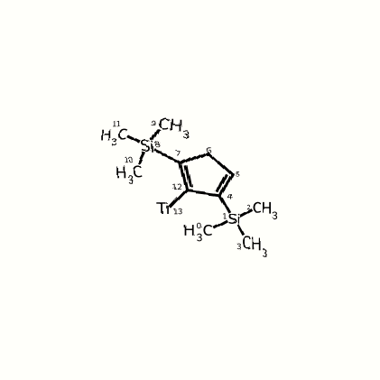 C[Si](C)(C)C1=CCC([Si](C)(C)C)=[C]1[Ti]